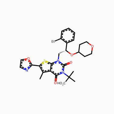 CCc1ccccc1[C@@H](Cn1c(=O)n(C(C)(C)C(=O)O)c(=O)c2c(C)c(-c3ncco3)sc21)OC1CCOCC1